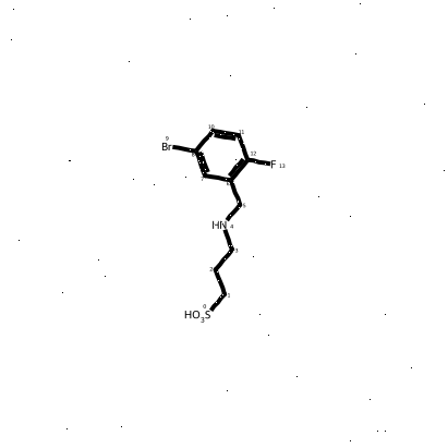 O=S(=O)(O)CCCNCc1cc(Br)ccc1F